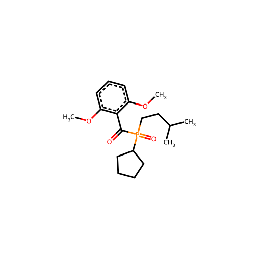 COc1cccc(OC)c1C(=O)P(=O)(CCC(C)C)C1CCCC1